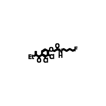 C=C(CC)C(=O)c1ccc(OCC(=O)NCCCCF)c(Cl)c1Cl